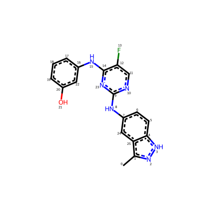 Cc1n[nH]c2ccc(Nc3ncc(F)c(Nc4cccc(O)c4)n3)cc12